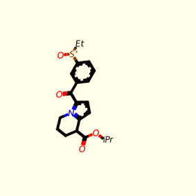 CC[S+]([O-])c1cccc(C(=O)c2ccc3n2CCCC3C(=O)OC(C)C)c1